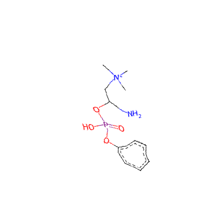 C[N+](C)(C)CC(N)OP(=O)(O)Oc1ccccc1